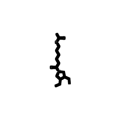 CCC1CN(C(=O)CCCCCOC(C)=O)CC1CC